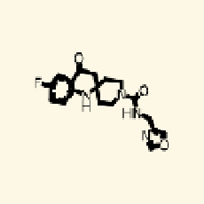 O=C1CC2(CCN(C(=O)NCc3cocn3)CC2)Nc2ccc(F)cc21